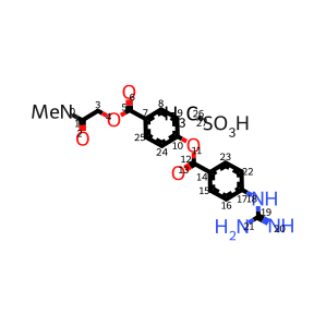 CNC(=O)COC(=O)c1ccc(OC(=O)c2ccc(NC(=N)N)cc2)cc1.CS(=O)(=O)O